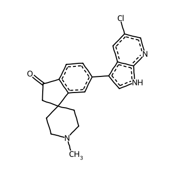 CN1CCC2(CC1)CC(=O)c1ccc(-c3c[nH]c4ncc(Cl)cc34)cc12